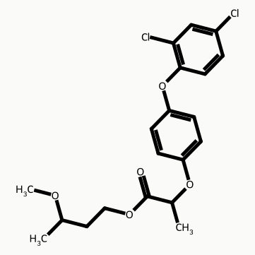 COC(C)CCOC(=O)C(C)Oc1ccc(Oc2ccc(Cl)cc2Cl)cc1